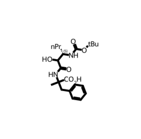 CCC[C@H](NC(=O)OC(C)(C)C)C(O)C(=O)NC(C)(Cc1ccccc1)C(=O)O